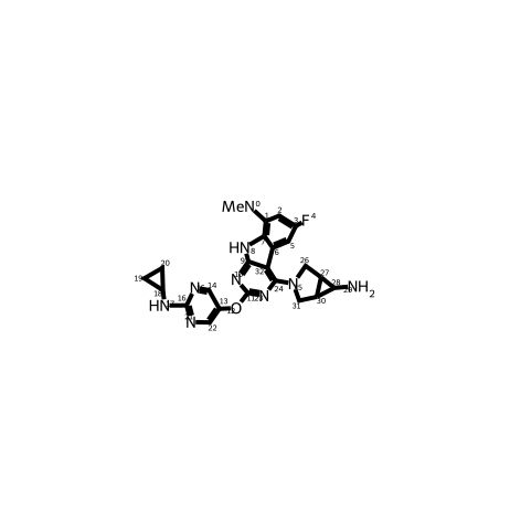 CNc1cc(F)cc2c1[nH]c1nc(Oc3cnc(NC4CC4)nc3)nc(N3CC4C(N)C4C3)c12